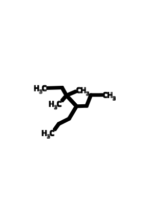 CCCC(CCC)C(C)(C)CC